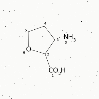 N.O=C(O)C1CCCO1